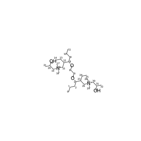 CCCC(OCCOC(CCC)C(CC)C[N+](C)(C)CC(C)O)C(CC)C[N+](C)(C)CC(C)O